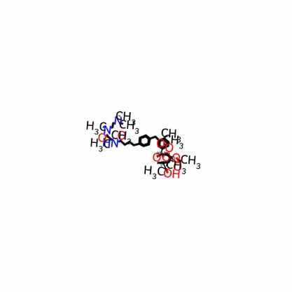 CC(=O)O[C@H]1C[C@]2(C(C)(C)O)CO[C@@](c3ccc(C)c(Cc4ccc(CCCC(=O)NC(C)(C)C(=O)N(C)CCN(C)C)cc4)c3)(O2)[C@@H]1OC(C)=O